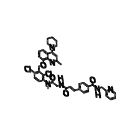 Cc1cc(N2CCCCC2)c2cccc(OCc3c(Cl)ccc(N(C)C(=O)CNC(=O)C=Cc4ccc(C(=O)NCc5ccccn5)cc4)c3Cl)c2n1